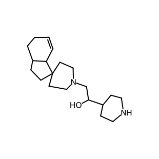 OC(CN1CCC2(CCC3CCC=CC32)CC1)C1CCNCC1